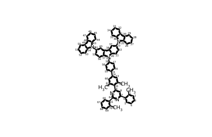 Cc1ccccc1-c1cc(-c2c(C)cc(-c3ccc(-n4c5ccc(-n6c7ccccc7c7ccccc76)cc5c5cc(-n6c7ccccc7c7ccccc76)ccc54)cc3)cc2C)nc(-c2ccccc2C)n1